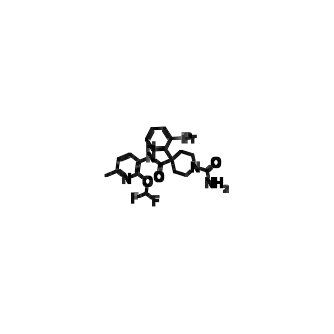 Cc1ccc(NC(=O)C2(c3ccccc3C(C)C)CCN(C(N)=O)CC2)c(OC(F)F)n1